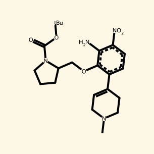 CN1CC=C(c2ccc([N+](=O)[O-])c(N)c2OCC2CCCN2C(=O)OC(C)(C)C)CC1